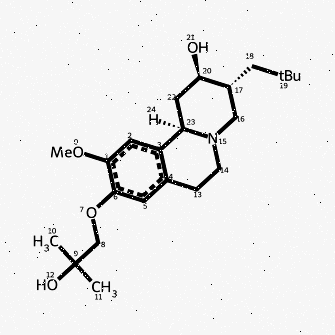 COc1cc2c(cc1OCC(C)(C)O)CCN1C[C@@H](CC(C)(C)C)[C@H](O)C[C@H]21